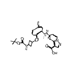 C[C@@H](Nc1ccn2ncc(C(=O)O)c2n1)c1cc(F)ccc1OC1CC(NC(=O)OC(C)(C)C)C1